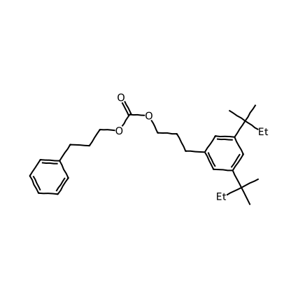 CCC(C)(C)c1cc(CCCOC(=O)OCCCc2ccccc2)cc(C(C)(C)CC)c1